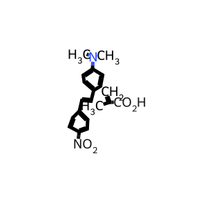 C=C(C)C(=O)O.CN(C)c1ccc(C=Cc2ccc([N+](=O)[O-])cc2)cc1